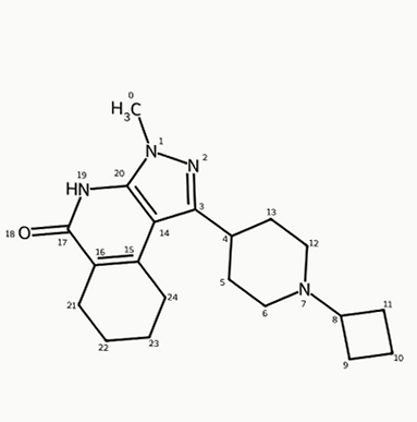 Cn1nc(C2CCN(C3CCC3)CC2)c2c3c(c(=O)[nH]c21)CCCC3